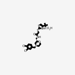 CC(C)(C(=O)O)C1=CSC(SCC(=O)NC[C@H]2CN(Cc3ccc(Cl)c(Cl)c3)CCO2)N1